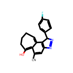 N#Cc1cc2c(c3c1=C(O)CCCC=3)C(c1ccc(F)cc1)N=N2